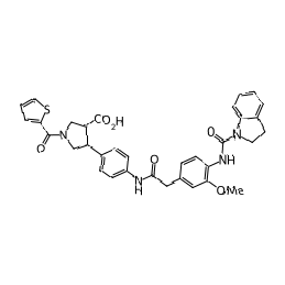 COc1cc(CC(=O)Nc2ccc(C3CN(C(=O)c4cccs4)CC3C(=O)O)cc2)ccc1NC(=O)N1CCc2ccccc21